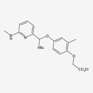 CBc1cccc(C(CCCC)Oc2ccc(OCC(=O)OCC)c(C)c2)n1